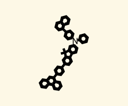 CC1(C)c2cc(-c3ccc(-c4cc5ccccc5c5ccccc45)cc3)ccc2-c2ccc(N(c3ccccc3)c3ccc(-c4cccc5ccccc45)cc3)cc21